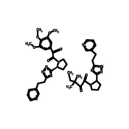 CCC(C)(C)C(=O)C(=O)N1CCCC1c1nc(CCc2cccnc2)no1.COc1cc(C(=O)C(=O)N2CCC[C@H]2c2nc(CCc3cccnc3)no2)cc(OC)c1OC